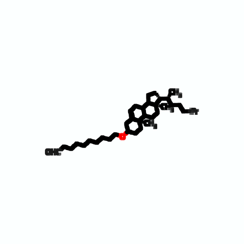 CC(C)CCC[C@@H](C)[C@H]1CCC2C3CC=C4CC(OCCCCCCCCCC=O)CC[C@]4(C)C3CC[C@@]21C